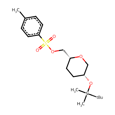 Cc1ccc(S(=O)(=O)OC[C@H]2CC[C@@H](O[Si](C)(C)C(C)(C)C)CO2)cc1